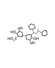 CCCc1cc(-c2cc(CCC)c(O)c(S(=O)(=O)O)c2)cc(C(CC(C)c2ccccc2)c2ccccc2)c1O